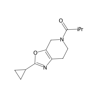 CC(C)C(=O)N1CCc2nc(C3CC3)oc2C1